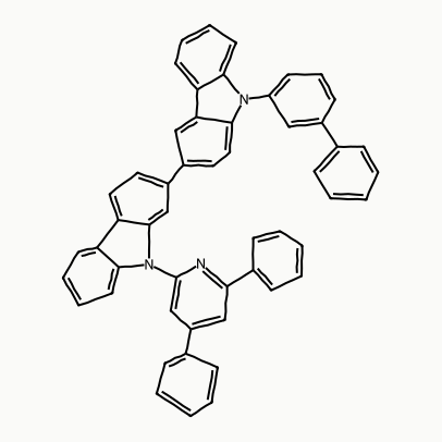 c1ccc(-c2cccc(-n3c4ccccc4c4cc(-c5ccc6c7ccccc7n(-c7cc(-c8ccccc8)cc(-c8ccccc8)n7)c6c5)ccc43)c2)cc1